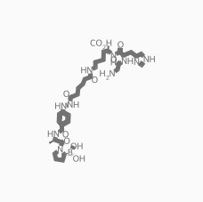 C[C@@H](NC(=O)c1ccc(NNC(=O)CCCCC(=O)NCCCC[C@H](NC(=O)C(CC2CNC=N2)NC(=O)CN)C(=O)O)cc1)C(=O)N1CCC[C@H]1B(O)O